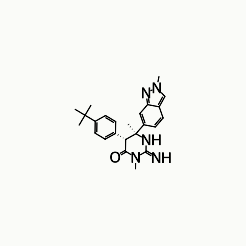 CN1C(=N)N[C@](C)(c2ccc3cn(C)nc3c2)[C@@H](c2ccc(C(C)(C)C)cc2)C1=O